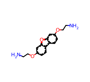 NCCOc1ccc2c(c1)oc1cc(OCCN)ccc12